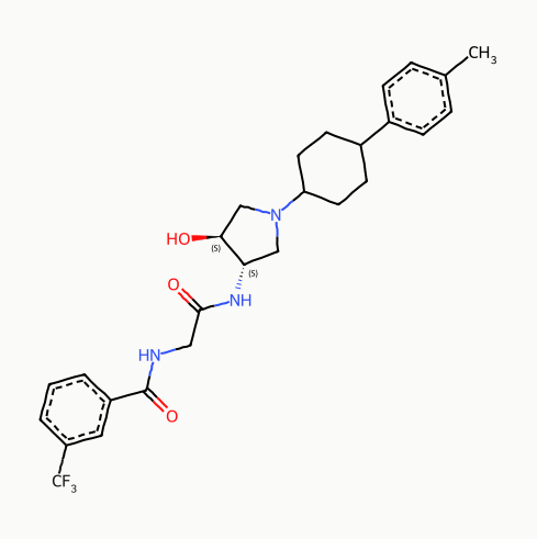 Cc1ccc(C2CCC(N3C[C@H](NC(=O)CNC(=O)c4cccc(C(F)(F)F)c4)[C@@H](O)C3)CC2)cc1